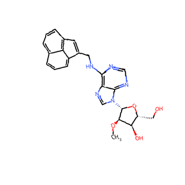 CO[C@@H]1[C@H](O)[C@@H](CO)O[C@H]1n1cnc2c(NCC3=Cc4cccc5cccc3c45)ncnc21